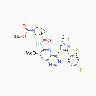 COc1cc2ncnc(-c3cn(C)nc3-c3ccc(F)cc3F)c2nc1NC(=O)C12CC1CN(C(=O)OC(C)(C)C)C2